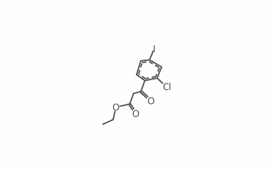 CCOC(=O)CC(=O)c1ccc(I)cc1Cl